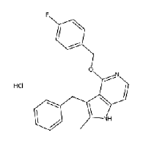 Cc1[nH]c2ccnc(OCc3ccc(F)cc3)c2c1Cc1ccccc1.Cl